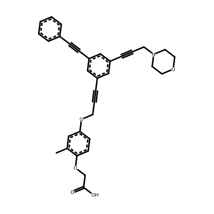 Cc1cc(OCC#Cc2cc(C#CCN3CCOCC3)cc(C#Cc3ccccc3)c2)ccc1OCC(=O)O